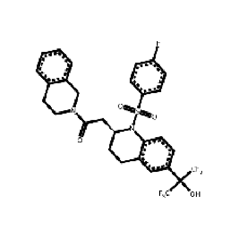 O=C(C[C@@H]1CCc2cc(C(O)(C(F)(F)F)C(F)(F)F)ccc2N1S(=O)(=O)c1ccc(F)cc1)N1CCc2ccccc2C1